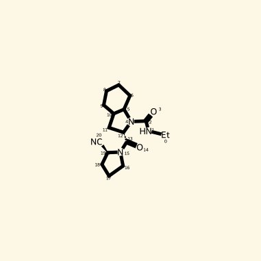 CCNC(=O)N1C2CCCCC2C[C@H]1C(=O)N1CCC[C@H]1C#N